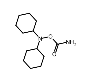 NC(=O)ON(C1CCCCC1)C1CCCCC1